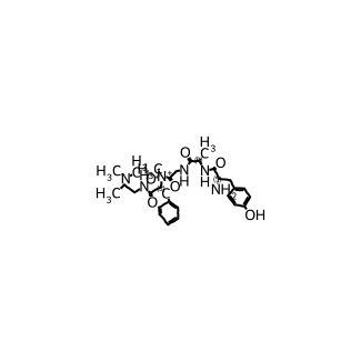 CC(CNC(=O)[C@H](Cc1ccccc1)[N+](C)([O-])C(=O)CNC(=O)[C@@H](C)NC(=O)[C@@H](N)Cc1ccc(O)cc1)N(C)C